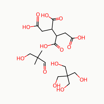 CC(C)(C=O)CO.O=C(O)CC(C(=O)O)C(CC(=O)O)C(=O)O.OCC(CO)(CO)CO